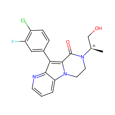 C[C@H](CO)N1CCn2c(c(-c3ccc(Cl)c(F)c3)c3ncccc32)C1=O